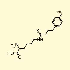 N[C@@H](CCCCNC(=S)CCCc1ccc([131I])cc1)C(=O)O